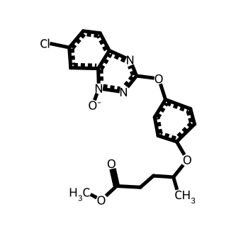 COC(=O)CCC(C)Oc1ccc(Oc2nc3ccc(Cl)cc3[n+]([O-])n2)cc1